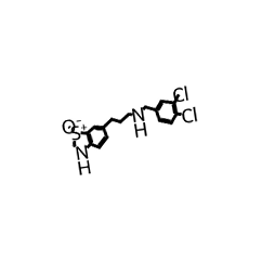 [O-][S+]1CNc2ccc(CCCNCc3ccc(Cl)c(Cl)c3)cc21